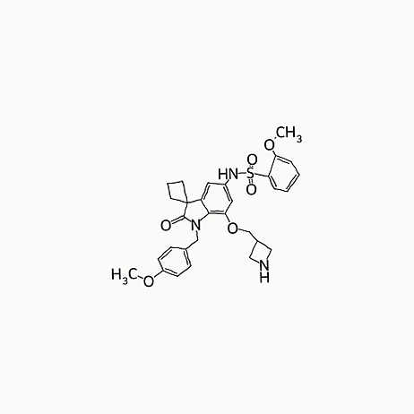 COc1ccc(CN2C(=O)C3(CCC3)c3cc(NS(=O)(=O)c4ccccc4OC)cc(OCC4CNC4)c32)cc1